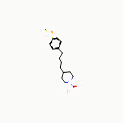 CS(=O)(=O)c1ccc(CCCCC2CCN(C(=O)O)CC2)cc1